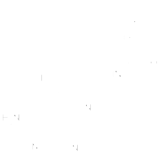 C=C[C@H](Cn1cc(I)c2c(N)ncnc21)NC(=O)OC(C)(C)C